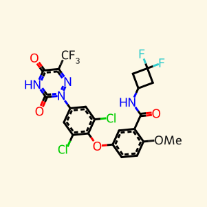 COc1ccc(Oc2c(Cl)cc(-n3nc(C(F)(F)F)c(=O)[nH]c3=O)cc2Cl)cc1C(=O)NC1CC(F)(F)C1